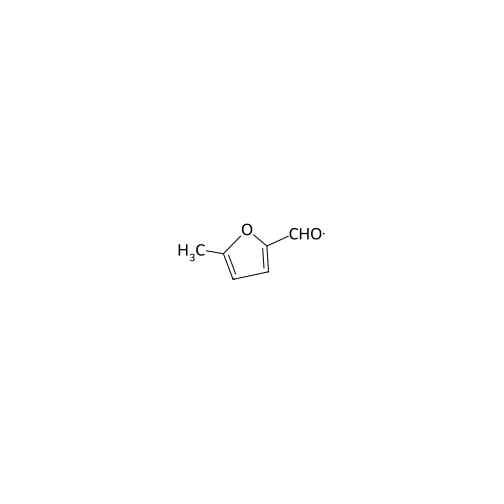 Cc1ccc([C]=O)o1